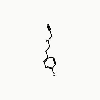 C#CCNCCc1ccc(Cl)cc1